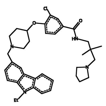 CCn1c2ccccc2c2cc(CN3CCC(Oc4ccc(C(=O)NCC(C)(C)CN5CCCC5)cc4Cl)CC3)ccc21